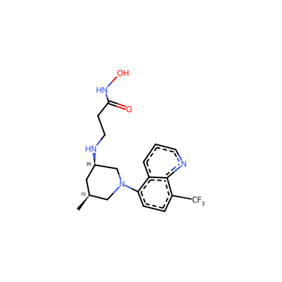 C[C@H]1C[C@@H](NCCC(=O)NO)CN(c2ccc(C(F)(F)F)c3ncccc23)C1